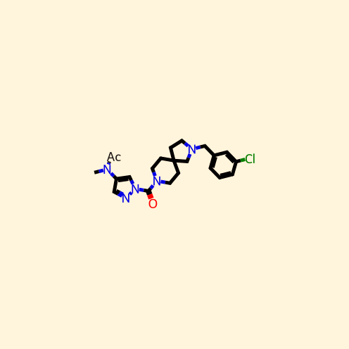 CC(=O)N(C)c1cnn(C(=O)N2CCC3(CCN(Cc4cccc(Cl)c4)C3)CC2)c1